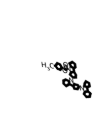 Cc1ccc(S(=O)(=O)n2c3ccccc3c3ccc(-n4c5ccccc5c5ccc(-n6c7ccccc7c7ccccc76)cc54)cc32)cc1